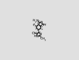 Cc1nc(-c2cc(F)c3c(N)n[nH]c3c2)c(Cl)[nH]1